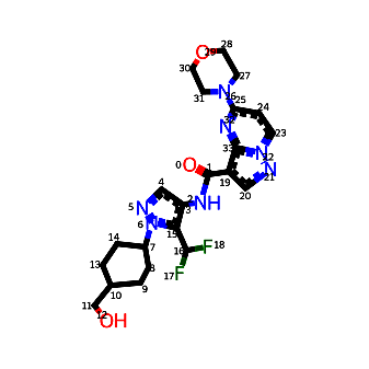 O=C(Nc1cnn(C2CCC(CO)CC2)c1C(F)F)c1cnn2ccc(N3CCOCC3)nc12